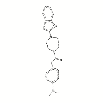 CN(C)c1ccc(CC(=O)N2CCN(c3nc4ncccc4s3)CC2)cc1